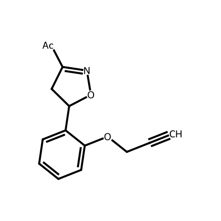 C#CCOc1ccccc1C1CC(C(C)=O)=NO1